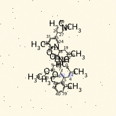 C#C/C(C)=C\C(=C/C[C@H](CC(=O)OCC)NC(=O)C(CC(C)C)n1cc(CCN(C)C)cc(C)c1=O)c1c(C)cccc1C